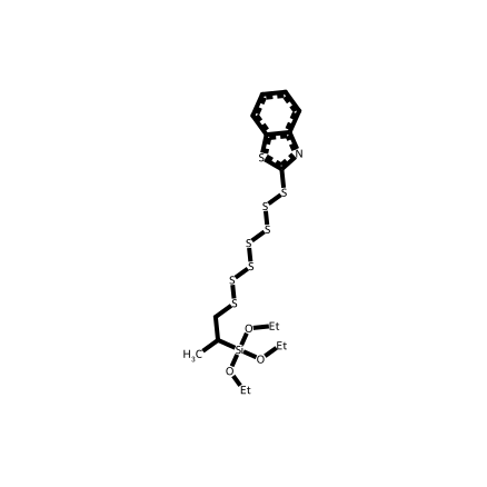 CCO[Si](OCC)(OCC)C(C)CSSSSSSSc1nc2ccccc2s1